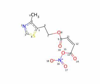 Cc1ncsc1CCOC(=O)/C=C\C(=O)O[N+](=O)[O-]